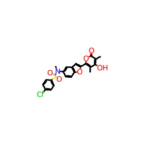 Cc1c(-c2cc3cc(N(C)S(=O)(=O)c4ccc(Cl)cc4)ccc3o2)oc(=O)c(C)c1O